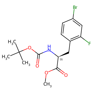 COC(=O)[C@H](Cc1ccc(Br)cc1F)NC(=O)OC(C)(C)C